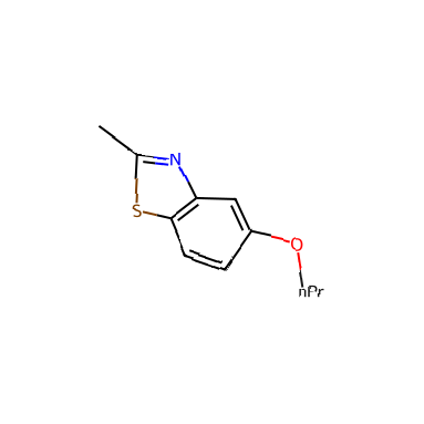 CCCOc1ccc2sc(C)nc2c1